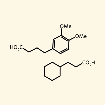 COc1ccc(CCCC(=O)O)cc1OC.O=C(O)CCC1CCCCC1